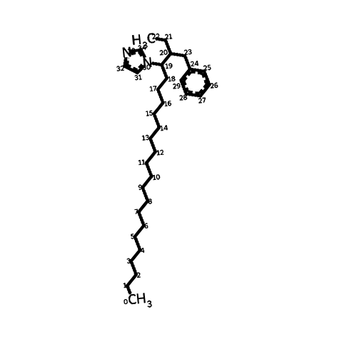 CCCCCCCCCCCCCCCCCCCC(C(CC)Cc1ccccc1)n1ccnc1